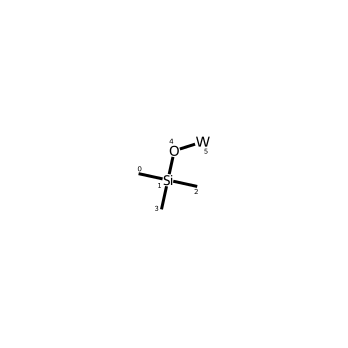 C[Si](C)(C)[O][W]